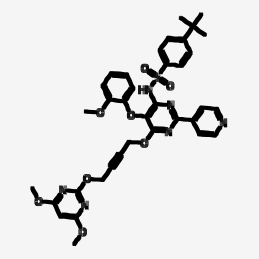 COc1cc(OC)nc(OCC#CCOc2nc(-c3ccncc3)nc(NS(=O)(=O)c3ccc(C(C)(C)C)cc3)c2Oc2ccccc2OC)n1